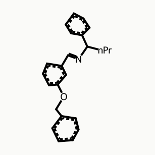 CCCC(/N=C/c1cccc(OCc2ccccc2)c1)c1ccccc1